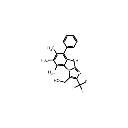 Cc1c(C)c(C)c2c([nH]c3nc(C(F)(F)F)c(CO)n32)c1-c1ccccc1